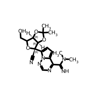 CN(C)C(=N)c1ncnn2c([C@]3(C#N)OC(CO)[C@H]4OC(C)(C)O[C@H]43)ccc12